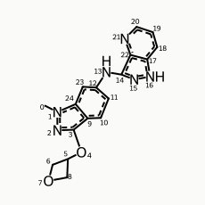 Cn1nc(OC2COC2)c2ccc(Nc3n[nH]c4cccnc34)cc21